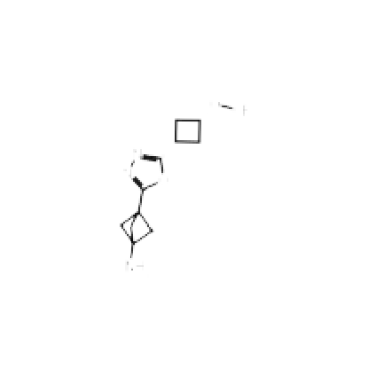 NC12CC(c3nnc([C@H]4C[C@@H](OC(F)(F)F)C4)o3)(C1)C2